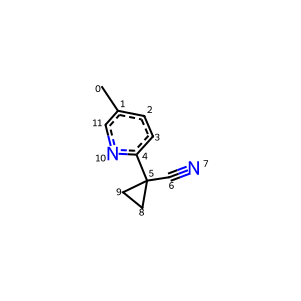 Cc1ccc(C2(C#N)CC2)nc1